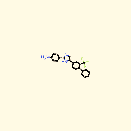 Nc1ccc(-c2ncc(-c3ccc(-c4ccccc4)c(C(F)(F)F)c3)[nH]2)cc1